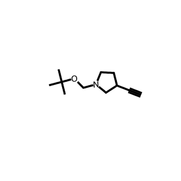 C#CC1CCN(COC(C)(C)C)C1